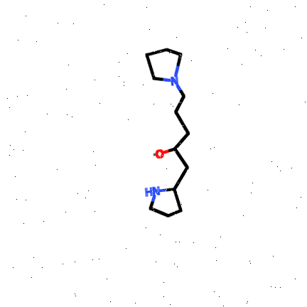 [O]C(CCCN1CCCC1)CC1CCCN1